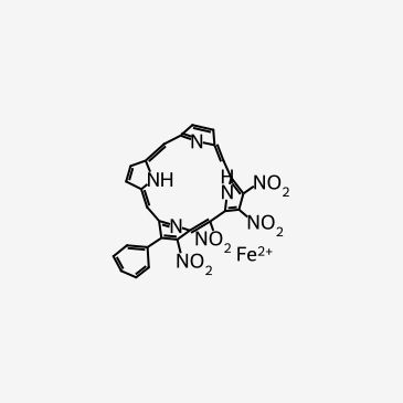 O=[N+]([O-])C1=C(c2ccccc2)c2cc3ccc(cc4nc(cc5[nH]c(c([N+](=O)[O-])c1n2)c([N+](=O)[O-])c5[N+](=O)[O-])C=C4)[nH]3.[Fe+2]